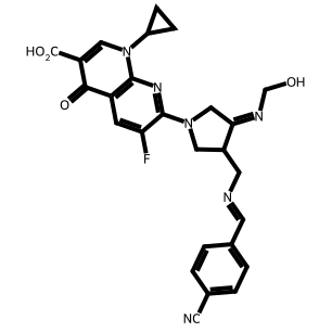 N#Cc1ccc(C=NCC2CN(c3nc4c(cc3F)c(=O)c(C(=O)O)cn4C3CC3)C/C2=N\CO)cc1